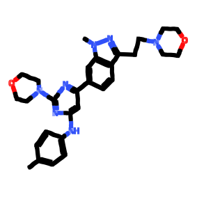 Cc1ccc(Nc2cc(-c3ccc4c(CCN5CCOCC5)nn(C)c4c3)nc(N3CCOCC3)n2)cc1